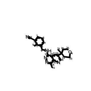 Cc1c(C#N)cccc1CNc1nnc(C)c2ncc(C3(C)CCOCC3)cc12